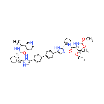 COC(=O)N[C@H](C(=O)N1CCC[C@H]1c1ncc(-c2ccc(-c3ccc(-c4cnc([C@H]5C6CCC(C6)[C@@H]5C(=O)NC(C)c5cccnc5)[nH]4)cc3)cc2)[nH]1)[C@@H](C)OC